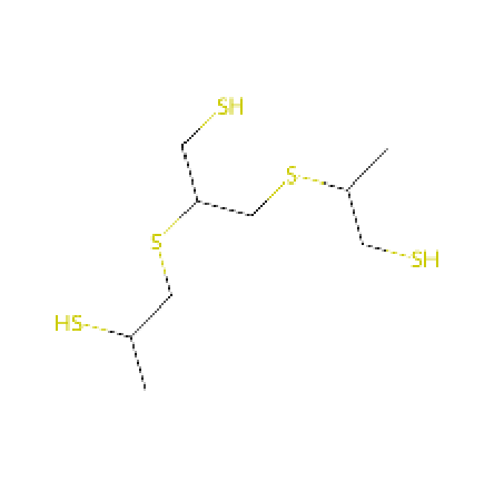 CC(S)CSC(CS)CSC(C)CS